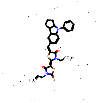 C=CCN1C(=O)/C(=c2\s/c(=C/c3ccc4c(c3)C3CCCC3N4c3ccccc3)c(=O)n2CC(=O)O)SC1=S